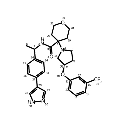 CC(NC(=O)C1(N2CC[C@@H](Oc3cccc(C(F)(F)F)c3)C2)CCOCC1)c1ccc(-c2cn[nH]c2)cc1